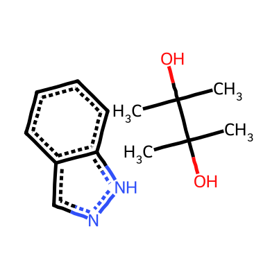 CC(C)(O)C(C)(C)O.c1ccc2[nH]ncc2c1